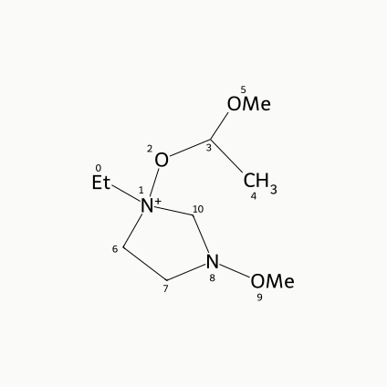 CC[N+]1(OC(C)OC)CCN(OC)C1